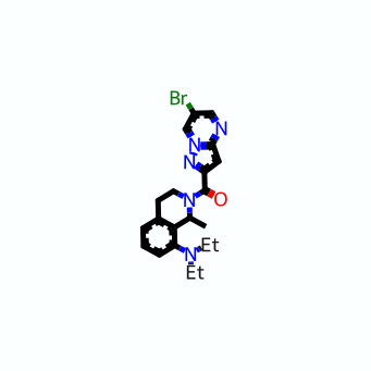 CCN(CC)c1cccc2c1C(C)N(C(=O)c1cc3ncc(Br)cn3n1)CC2